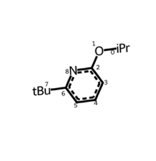 CC(C)Oc1cccc(C(C)(C)C)n1